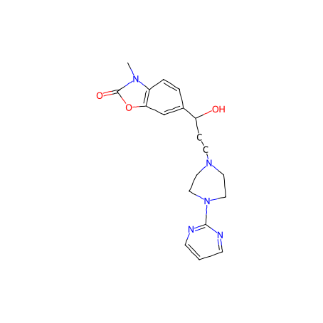 Cn1c(=O)oc2cc(C(O)CCN3CCN(c4ncccn4)CC3)ccc21